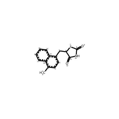 Cc1ccc(CC2SC(=O)NC2=O)c2ccccc12